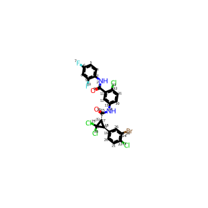 O=C(Nc1ccc(F)cc1F)c1cc(NC(=O)[C@@H]2[C@@H](c3ccc(Cl)c(Br)c3)C2(Cl)Cl)ccc1Cl